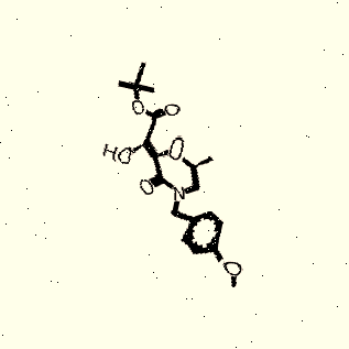 COc1ccc(CN2C[C@H](C)O[C@H]([C@@H](O)C(=O)OC(C)(C)C)C2=O)cc1